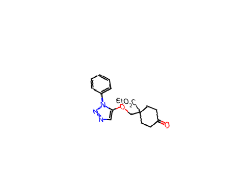 CCOC(=O)C1(COc2cnnn2-c2ccccc2)CCC(=O)CC1